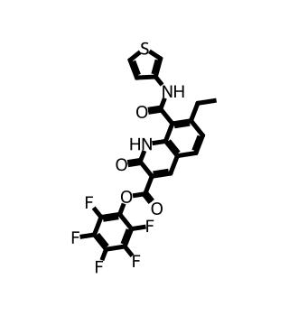 CCc1ccc2cc(C(=O)Oc3c(F)c(F)c(F)c(F)c3F)c(=O)[nH]c2c1C(=O)Nc1ccsc1